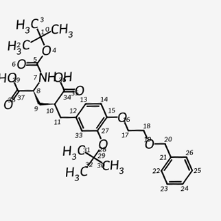 CC(C)(C)OC(=O)N[C@@H](C[C@H](Cc1ccc(OCCOCc2ccccc2)c(OC(C)(C)C)c1)C(=O)O)C(=O)O